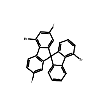 Fc1ccc2c(c1)C1(c3ccccc3-c3c(Br)cccc31)c1cc(F)cc(Br)c1-2